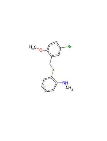 CNc1ccccc1SCc1cc(Br)ccc1OC